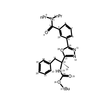 CCCN(CCC)C(=O)c1cccc(-c2nnc([C@](C)(Cc3ccccc3)NC(=O)OC(C)(C)C)o2)c1